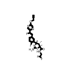 C#CCOc1cnc(/C(F)=C/c2ccc(F)c([C@@]3(C)N=C(N)S[C@](C)(C(=O)NCC(F)F)[C@H]3C)c2)cn1